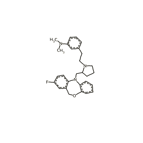 CN(C)c1cccc(CCN2CCCC2CN2c3ccc(F)cc3COc3ccccc32)c1